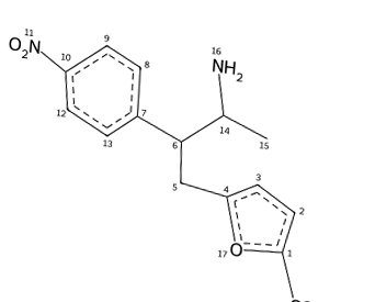 CCOC(=O)c1ccc(CC(c2ccc([N+](=O)[O-])cc2)C(C)N)o1